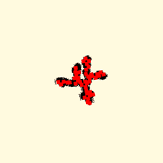 c1ccc(-c2c3ccccc3c(-c3ccc(-n4c5ccc(-c6cc(-c7ccc8c(ccc9ccccc98)c7)cc7c6oc6ccc(-c8ccc9c(ccc%10ccccc%109)c8)cc67)cc5c5cc(-c6cc(-c7ccc8c(ccc9ccccc98)c7)cc7c6oc6ccc(-c8ccc9c(ccc%10ccccc%109)c8)cc67)ccc54)cc3)c3ccccc23)cc1